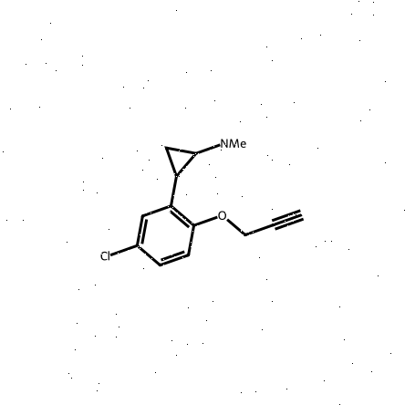 C#CCOc1ccc(Cl)cc1C1CC1NC